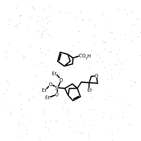 CCO[Si](OCC)(OCC)C1CC2(CC3(CC)COC3)C=CC1C2.O=C(O)C1CC2C=CC1C2